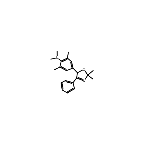 Cc1cc(C2OC(C)(C)N=C2c2ccccc2)cc(C)c1N(C)C